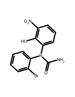 NC(=O)N(c1ccccc1Br)c1cccc([N+](=O)[O-])c1O